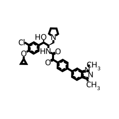 Cc1nn(C)c2cc(-c3ccc(C(=O)C(=O)N[C@H](CN4CCCC4)[C@H](O)c4ccc(OC5CC5)c(Cl)c4)cc3)ccc12